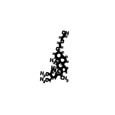 CC[C@H](/C=C/[C@@H](C)[C@H]1CCC2C3CC=C4C[C@@H](OCCOCCO)CC[C@]4(C)C3CC[C@@]21C)C(C)C